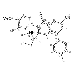 COc1ccc(-n2c([C@@]3(C)CCCN3)nc3c(-c4ccc(C)nc4)cc(C#N)cc3c2=O)cc1F